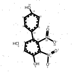 Cl.O=[N+]([O-])c1c(O)ccc(-c2ccc(O)cc2)c1[N+](=O)[O-]